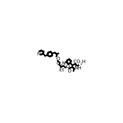 CCC(CCCOCC(C)=Cc1ccc(Cc2cccnc2)cc1)CCOC(=O)C1=C(C)NC(C)=C(C(=O)O)C1c1cccc([N+](=O)[O-])c1